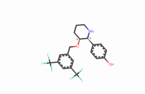 Oc1ccc([C@@H]2NCCC[C@@H]2OCc2cc(C(F)(F)F)cc(C(F)(F)F)c2)cc1